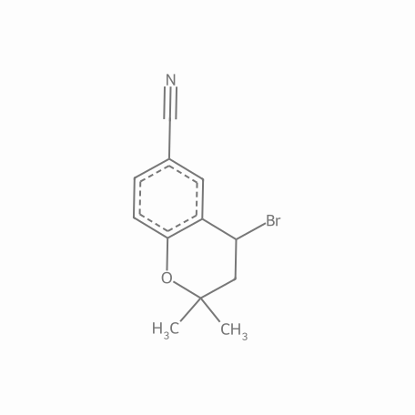 CC1(C)CC(Br)c2cc(C#N)ccc2O1